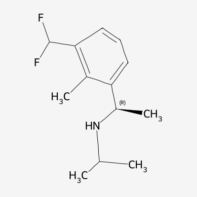 Cc1c(C(F)F)cccc1[C@@H](C)NC(C)C